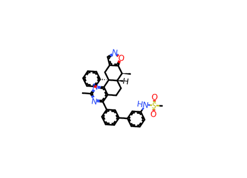 Cc1nc(-c2cccc(-c3cccc(NS(C)(=O)=O)c3)c2)c2c(n1)[C@@]1(c3ccccc3)Cc3cnoc3[C@@H](C)[C@@H]1CC2